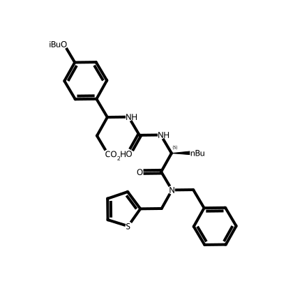 CCCC[C@H](NC(=O)NC(CC(=O)O)c1ccc(OCC(C)C)cc1)C(=O)N(Cc1ccccc1)Cc1cccs1